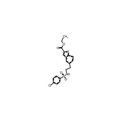 CCOC(=O)c1cc2cc(CCNS(=O)(=O)c3ccc(Cl)cc3)ccc2s1